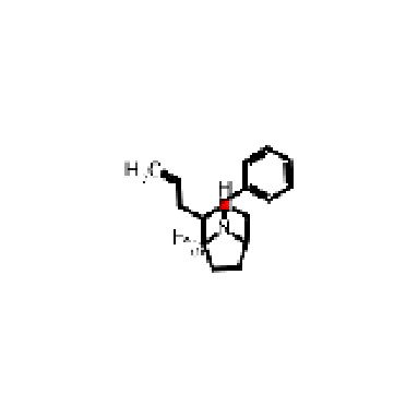 C=CCC1NCC2CC[C@@H]1N2Cc1ccccc1